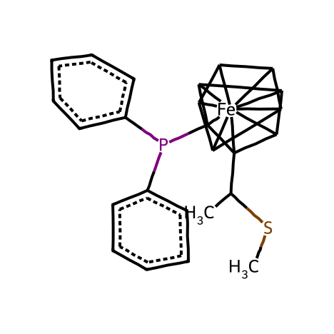 CSC(C)[C]12[CH]3[CH]4[CH]5[C]1(P(c1ccccc1)c1ccccc1)[Fe]43521678[CH]2[CH]1[CH]6[CH]7[CH]28